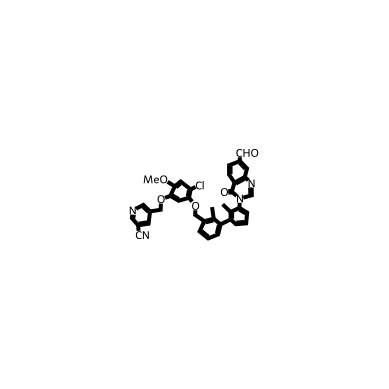 COc1cc(Cl)c(OCc2cccc(-c3cccc(-n4cnc5cc(C=O)ccc5c4=O)c3C)c2C)cc1OCc1cncc(C#N)c1